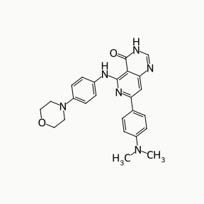 CN(C)c1ccc(-c2cc3nc[nH]c(=O)c3c(Nc3ccc(N4CCOCC4)cc3)n2)cc1